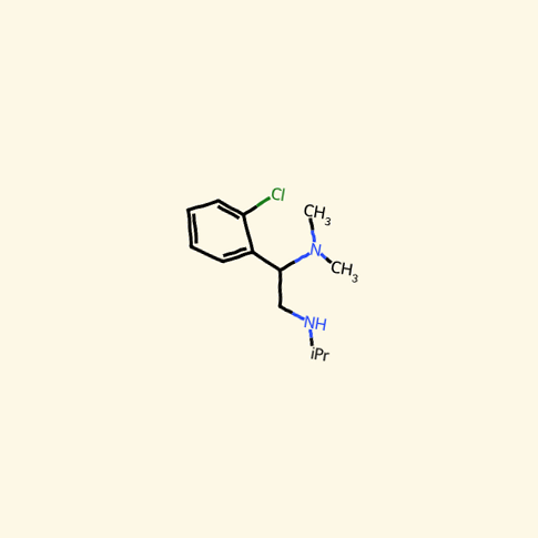 CC(C)NCC(c1ccccc1Cl)N(C)C